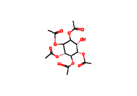 CC(=O)OC1C(OC(C)=O)[C@H](O)[C@H](OC(C)=O)C(OC(C)=O)[C@@H]1OC(C)=O